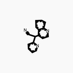 N#CC(c1ccccn1)c1ccnc2ccccc12